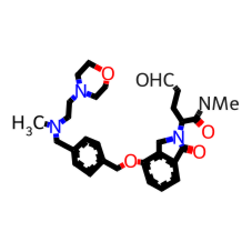 CNC(=O)C(CCC=O)N1Cc2c(OCc3ccc(CN(C)CCN4CCOCC4)cc3)cccc2C1=O